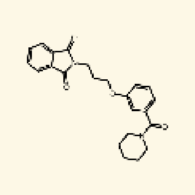 O=C(c1cccc(OCCCN2C(=O)c3ccccc3C2=O)c1)N1CCCCC1